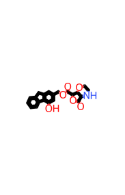 O=C1OC(C(=O)OCc2cc(O)c3c(c2)Cc2ccccc2-3)C2OCCNC12